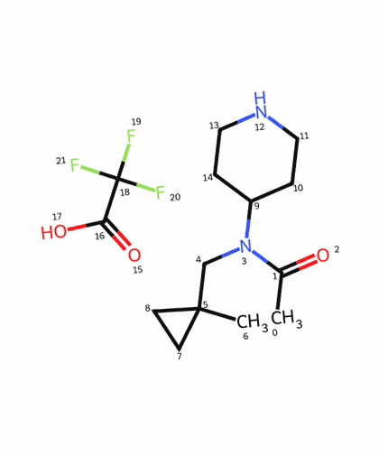 CC(=O)N(CC1(C)CC1)C1CCNCC1.O=C(O)C(F)(F)F